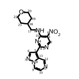 O=[N+]([O-])c1cnc(-c2cnn3ccncc23)nc1NCC1CCOCC1